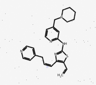 C=Cc1sc(Nc2cc(CN3CCCCC3)ccn2)nc1/C=C\Cc1ccncc1